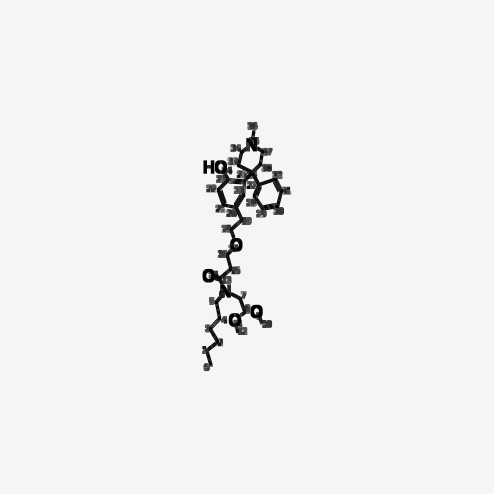 CCCCCCN(CC(OC)OC)C(=O)CCOCCc1ccc(O)c(C2(c3ccccc3)CCN(C)CC2)c1